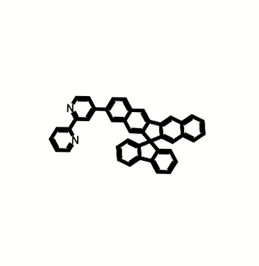 c1ccc(-c2cc(-c3ccc4cc5c(cc4c3)C3(c4ccccc4-c4ccccc43)c3cc4ccccc4cc3-5)ccn2)nc1